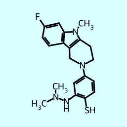 CN(C)Nc1cc(N2CCc3c(c4ccc(F)cc4n3C)C2)ccc1S